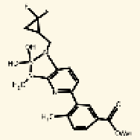 COC(=O)c1ccc(C)c(-c2ccc3c(n2)N(C)S(O)(O)N3CC2CC2(F)F)c1